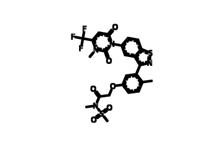 Cc1ccc(OCC(=O)N(C)S(C)(=O)=O)cc1-c1nsc2ccc(-n3c(=O)cc(C(F)(F)F)n(C)c3=O)cc12